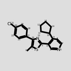 Cc1sc(-c2cnccc2C2CCCC2)nc1-c1ccc(Cl)cc1